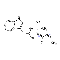 C/C=C\C(Cl)=N/C(C)(S)NC(CCCC)Cc1c[nH]c2ccccc12